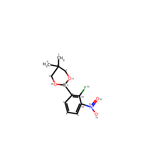 CC1(C)COB(c2cccc([N+](=O)[O-])c2F)OC1